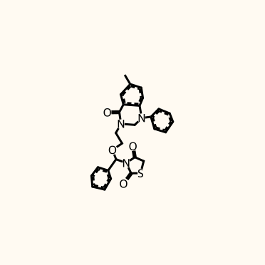 Cc1ccc2c(c1)C(=O)N(CCOC(c1ccccc1)N1C(=O)CSC1=O)CN2c1ccccc1